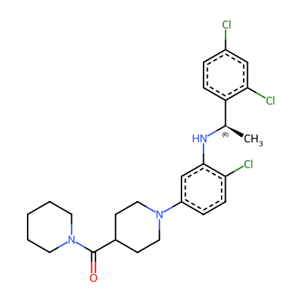 C[C@@H](Nc1cc(N2CCC(C(=O)N3CCCCC3)CC2)ccc1Cl)c1ccc(Cl)cc1Cl